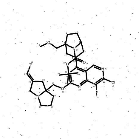 COCC12CCC(CN(c3nc(OCC45CCCN4C/C(=C/F)C5)nc4c(F)c(Cl)ncc34)C1)N2C(=O)OC(C)(C)C